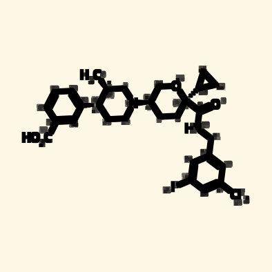 C[C@H]1CN([C@@H]2CC[C@@](C(=O)NCc3cc(F)cc(C(F)(F)F)c3)(C3CC3)OC2)CC[C@@H]1c1cccc(C(=O)O)c1